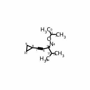 CC(C)O/N=C(\C#CC1CC1)C(C)C